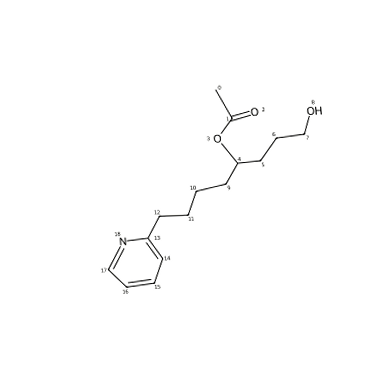 CC(=O)OC(CCCO)CCCCc1ccccn1